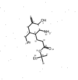 C=C(CO)CC(CC(C)C)C(CN)CCC(=O)OC(C)(C)CC